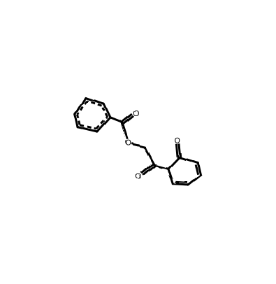 O=C(OCC(=O)C1C=CC=CC1=O)c1ccccc1